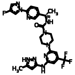 Cc1cc(Nc2cc(C(F)(F)F)cc(N3CCN(C(=O)N[C@@H](C)c4ccc(-n5cc(F)cn5)nc4)CC3)n2)n[nH]1